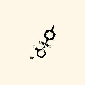 Cc1ccc(S(=O)(=O)N2CC[C@H](Br)C2=O)cc1